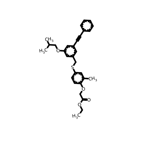 CCOC(=O)COc1ccc(SCc2cc(C#Cc3ccccc3)cc(OCC(C)C)c2)cc1C